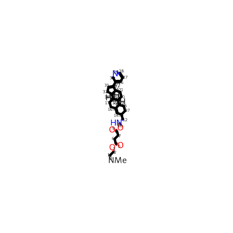 CNCCOC(=O)CCC(=O)ONCC1C=C2CC[C@H]3[C@H](CC[C@]4(C)C(c5cccnc5)=CC[C@@H]34)[C@@]2(C)CC1